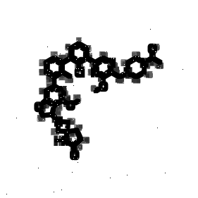 COc1nc(-c2cccc(-c3cccc(-c4cc5c(c(OC)n4)C(N4CC6(CCC(=O)N6)C4)CO5)c3C)c2Cl)cnc1CN1CCN(C(C)=O)CC1